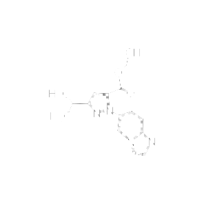 CCOC(=O)c1cc(C(C)C)nn1-c1ccc2nccn2c1